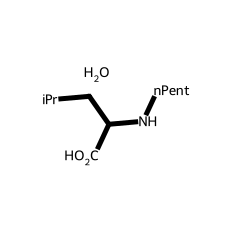 CCCCCNC(CC(C)C)C(=O)O.O